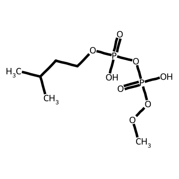 COOP(=O)(O)OP(=O)(O)OCCC(C)C